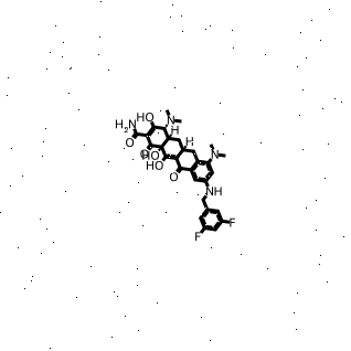 CN(C)c1cc(NCc2cc(F)cc(F)c2)cc2c1C[C@H]1C[C@H]3[C@H](N(C)C)C(O)=C(C(N)=O)C(=O)[C@@]3(O)C(O)=C1C2=O